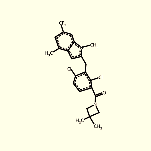 Cc1cc(C(F)(F)F)cc2c1cc(Cc1c(Cl)ccc(C(=O)N3CC(C)(C)C3)c1Cl)n2C